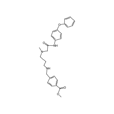 COC(=O)c1ccc(CNCCCN(C)CC(=O)Nc2ccc(Oc3ccccc3)cc2)cc1